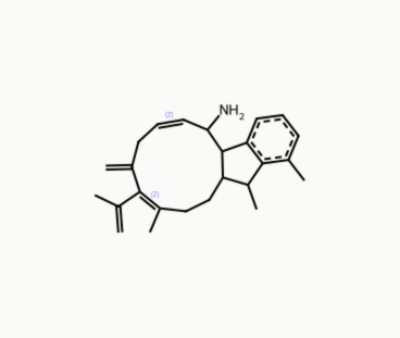 C=C(C)/C1=C(\C)CCC2C(C)c3c(C)cccc3C2C(N)/C=C\CC1=C